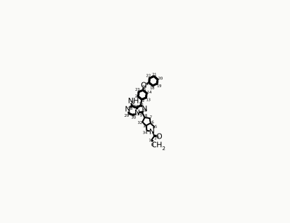 C=CC(=O)N1CC2CC(c3nc(-c4ccc(Oc5ccccc5)cc4)c4c(N)nccn34)CC2C1